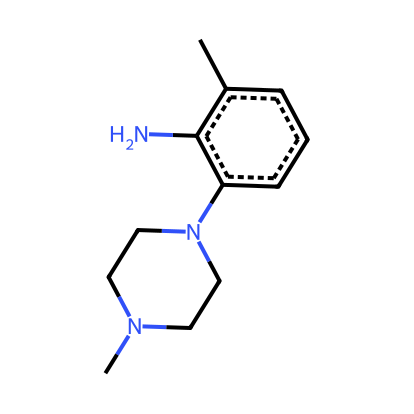 Cc1cccc(N2CCN(C)CC2)c1N